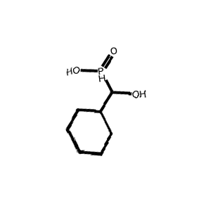 O=[PH](O)C(O)C1CCCCC1